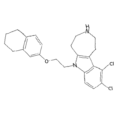 Clc1ccc2c(c1Cl)c1c(n2CCOc2ccc3c(c2)CCCC3)CCNCC1